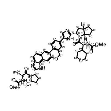 COC(=O)N[C@H](C(=O)N1[C@@H](C)CC[C@H]1c1nc2ccc3cc4c(cc3c2[nH]1)OCc1cc(-c2cnc([C@@H]3C[C@@H]5CCC[C@@H]5N3C(=O)[C@@H](NC(=O)OC)C3CCOCC3)[nH]2)ccc1-4)C(C)C